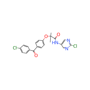 CC(C)(Oc1ccc(C(=O)c2ccc(Cl)cc2)cc1)C(=O)Nc1cnc(Cl)nc1